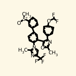 Cc1nc(-c2ccc(OC(F)F)cc2)c(-c2cc(-c3cccc([S+](C)[O-])c3)ccc2-n2cc(C(F)(F)F)nc2C)o1